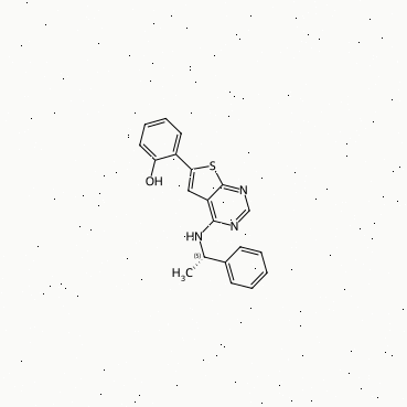 C[C@H](Nc1ncnc2sc(-c3ccccc3O)cc12)c1ccccc1